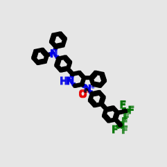 [O-][N+]1(c2ccc(-c3ccc(C(F)(F)F)c(C(F)(F)F)c3)cc2)c2ccccc2C2CC(c3ccc(N(c4ccccc4)c4ccccc4)cc3)NCC21